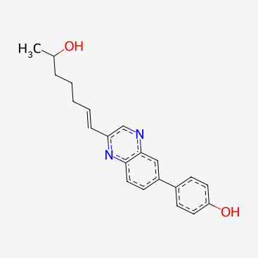 CC(O)CCCC=Cc1cnc2cc(-c3ccc(O)cc3)ccc2n1